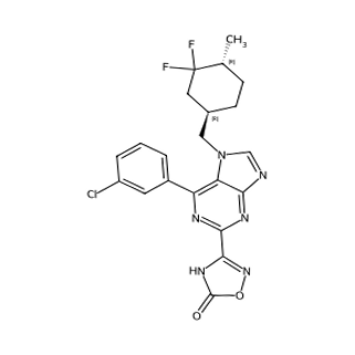 C[C@@H]1CC[C@@H](Cn2cnc3nc(-c4noc(=O)[nH]4)nc(-c4cccc(Cl)c4)c32)CC1(F)F